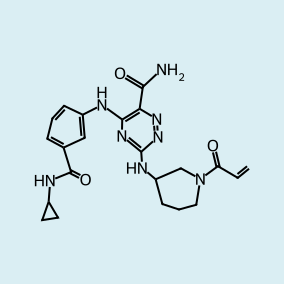 C=CC(=O)N1CCCC(Nc2nnc(C(N)=O)c(Nc3cccc(C(=O)NC4CC4)c3)n2)C1